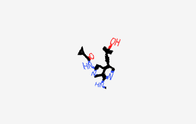 CNc1ncc(C#CC(C)(C)O)c2cc(NC(=O)C3CC3)ncc12